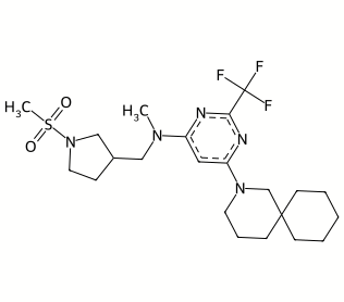 CN(CC1CCN(S(C)(=O)=O)C1)c1cc(N2CCCC3(CCCCC3)C2)nc(C(F)(F)F)n1